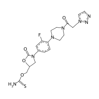 NC(=S)OCC1CN(c2ccc(N3CCN(C(=O)Cn4ccnn4)CC3)c(F)c2)C(=O)O1